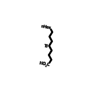 CCCCCCCCCCCCCC(=O)O.[Tl]